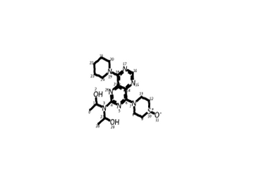 CC(O)N(c1nc(N2CC[S+]([O-])CC2)c2ncnc(N3CCCCC3)c2n1)C(C)O